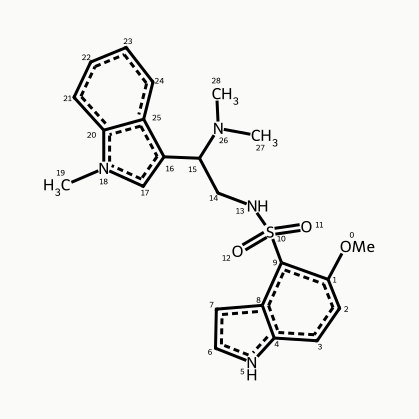 COc1ccc2[nH]ccc2c1S(=O)(=O)NCC(c1cn(C)c2ccccc12)N(C)C